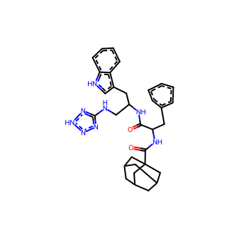 O=C(NC(CNc1nn[nH]n1)Cc1c[nH]c2ccccc12)C(Cc1ccccc1)NC(=O)C12CC3CC(CC(C3)C1)C2